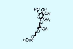 CCCCCCCCCCOCCOCC(O)CO[C@H]1O[C@H](CO)[C@H](O)[C@H](O)[C@H]1O